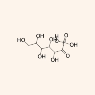 O=C(C(O)C(O)C(O)C(O)CO)P(=O)(O)O